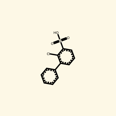 O=S(=O)(O)c1cccc(-c2ccccc2)c1Cl